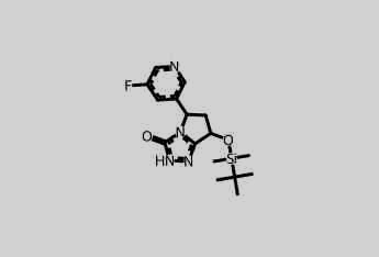 CC(C)(C)[Si](C)(C)OC1CC(c2cncc(F)c2)n2c1n[nH]c2=O